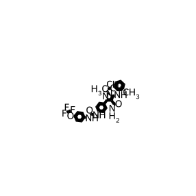 Cc1ccccc1Nc1c(C(N)=O)c(-c2ccc(NC(=O)Nc3ccc(OC(F)(F)F)cc3)cc2)nn1C(C)(C)C